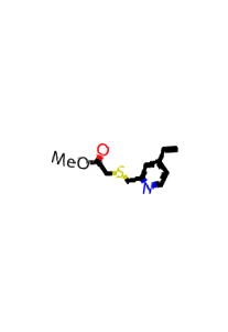 C=Cc1ccnc(CSCC(=O)OC)c1